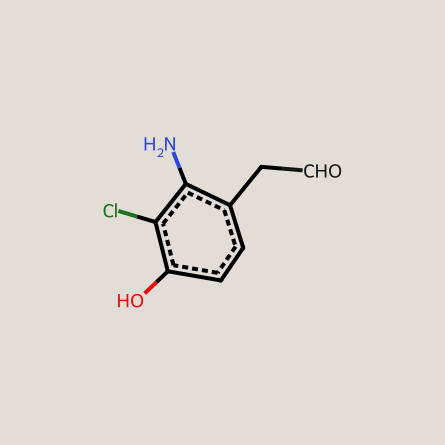 Nc1c(CC=O)ccc(O)c1Cl